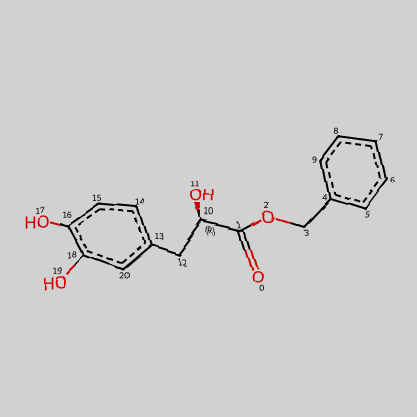 O=C(OCc1ccccc1)[C@H](O)Cc1ccc(O)c(O)c1